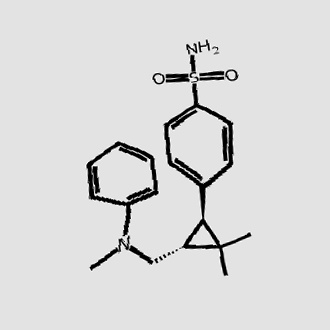 CN(C[C@@H]1[C@@H](c2ccc(S(N)(=O)=O)cc2)C1(C)C)c1ccccc1